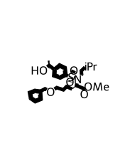 COC(=O)[C@H](CCCCOCc1ccccc1)N(CCC(C)C)S(=O)(=O)c1ccc([C@H](C)O)cc1